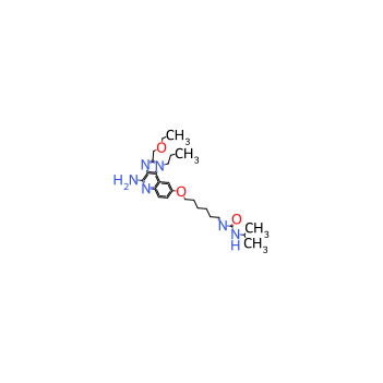 CCCn1c(COCC)nc2c(N)nc3ccc(OCCCCC/C=N/C(=O)NC(C)C)cc3c21